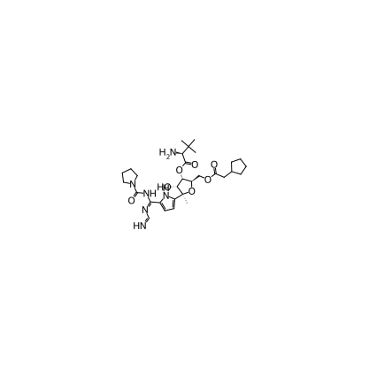 CC(C)(C)[C@H](N)C(=O)O[C@H]1[C@@H](O)[C@](C)(c2ccc(/C(=N\C=N)NC(=O)N3CCCC3)[nH]2)O[C@@H]1COC(=O)CC1CCCC1